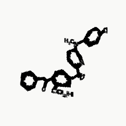 CN(c1ccc(Cl)cc1)c1ccc(C(=O)c2ccc(C(=O)Cc3ccccc3)c(C(=O)O)c2)nc1